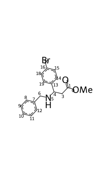 COC(=O)CC(NCc1ccccc1)c1ccc(Br)cc1